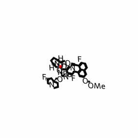 C#Cc1c(F)ccc2cc(OCOC)cc(-c3nc4c5c(nc(OC[C@@]67CCCN6C[C@H](F)C7)nc5c3F)N3C[C@@H]5CC[C@H]([C@@H]3CO4)N5C(=O)OC(C)(C)C)c12